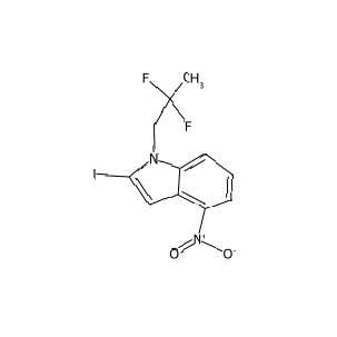 CC(F)(F)Cn1c(I)cc2c([N+](=O)[O-])cccc21